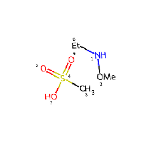 CCNOC.CS(=O)(=O)O